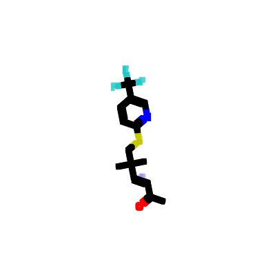 CC(=O)/C=C/C(C)(C)CSc1ccc(C(F)(F)F)cn1